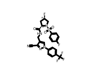 N#Cc1nn(-c2ccc(C(F)(F)F)cc2)cc1CNC(=O)[C@H]1C[C@@H](F)CN1S(=O)(=O)c1ccc(F)cc1